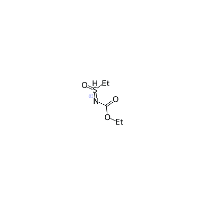 CCOC(=O)/N=[SH](=O)\CC